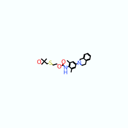 Cc1cc(N2CCc3ccccc3C2)cc(C)c1NC(=O)OCCSCC1(C)COC1